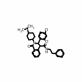 CN(C)C1CCC(N2C(=O)c3ccccc3C(C(=O)NCCc3ccccc3)C2c2ccc(Cl)cc2Cl)CC1